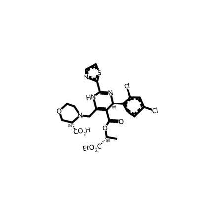 CCOC(=O)[C@@H](C)OC(=O)C1=C(CN2CCOC[C@H]2C(=O)O)NC(c2nccs2)=N[C@H]1c1ccc(Cl)cc1Cl